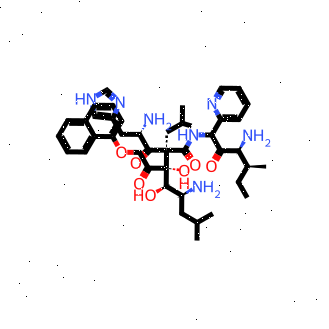 CC[C@H](C)[C@H](N)C(=O)C(NC(=O)[C@](CC(C)C)(C(=O)[C@@H](N)Cc1c[nH]cn1)[C@](O)(C(=O)COc1cccc2ccccc12)[C@H](O)[C@@H](N)CC(C)C)c1ccccn1